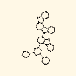 c1ccc(-c2nc(-c3ccccc3)nc(-c3ccc(-n4c5ccccc5c5c6c(ccc54)sc4ccccc46)c4sc5ccccc5c34)n2)cc1